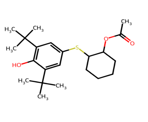 CC(=O)OC1CCCCC1Sc1cc(C(C)(C)C)c(O)c(C(C)(C)C)c1